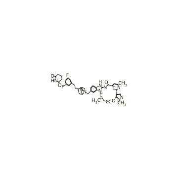 Cc1cc2cc(n1)-c1cnn(C)c1OCCC[C@@H](C)CN1/C(=N/C2=O)Nc2ccc(CN3CC4CCC3CN4CCc3cc(F)c([C@H]4CCC(=O)NC4=O)c(F)c3)cc21